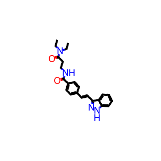 CCN(CC)C(=O)CCNC(=O)c1ccc(/C=C/c2n[nH]c3ccccc23)cc1